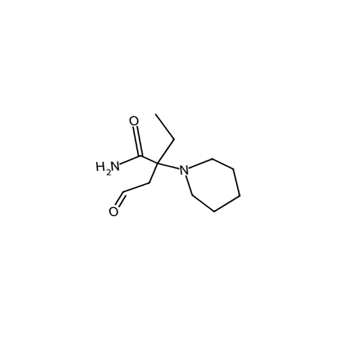 CCC(CC=O)(C(N)=O)N1CCCCC1